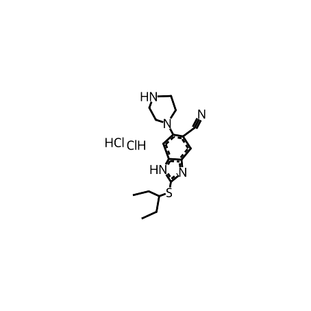 CCC(CC)Sc1nc2cc(C#N)c(N3CCNCC3)cc2[nH]1.Cl.Cl